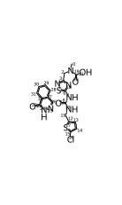 CN(Cc1nsc(NC(=O)NCc2ccc(Cl)s2)n1)C(=O)O.O=c1[nH]ncc2ccccc12